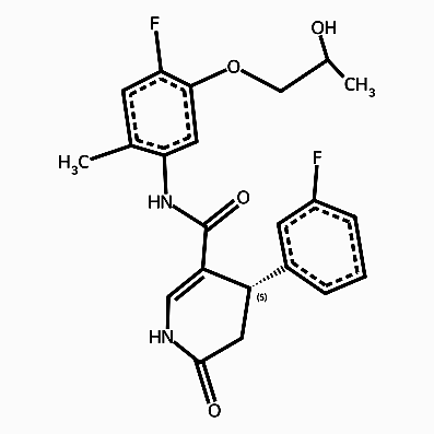 Cc1cc(F)c(OCC(C)O)cc1NC(=O)C1=CNC(=O)C[C@H]1c1cccc(F)c1